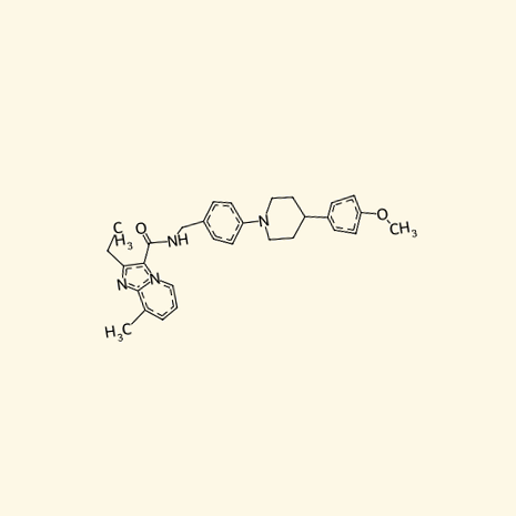 CCc1nc2c(C)cccn2c1C(=O)NCc1ccc(N2CCC(c3ccc(OC)cc3)CC2)cc1